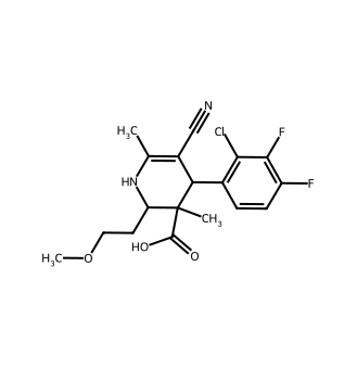 COCCC1NC(C)=C(C#N)C(c2ccc(F)c(F)c2Cl)C1(C)C(=O)O